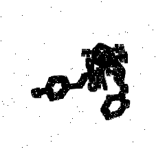 CC1(C)[C@H]2C[C@H](NS(=O)(=O)C=Cc3ccc(Cl)cc3)[C@@H](CCOC3CCCCO3)[C@@H]1C2